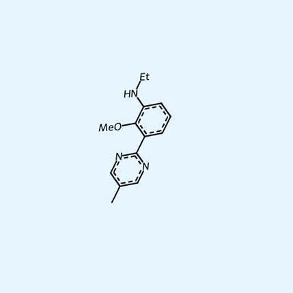 CCNc1cccc(-c2ncc(C)cn2)c1OC